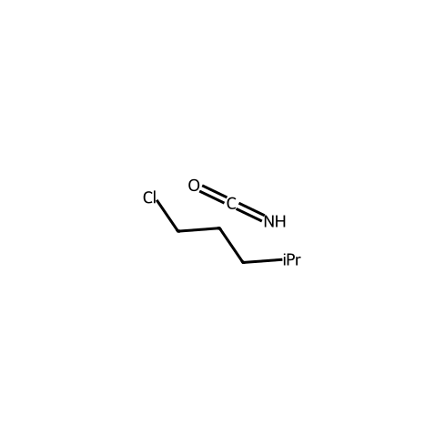 CC(C)CCCCl.N=C=O